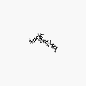 CC(C)n1nc(C(=O)NCc2ccc(NC(=O)N3CCC4(CNCCO4)C3)cc2)c2c1[C@@H](C)CN(c1ccc(C(=O)N(C)C)cc1)C2